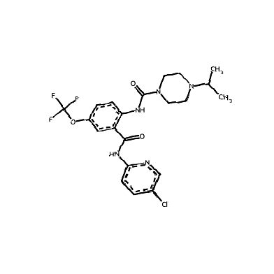 CC(C)N1CCN(C(=O)Nc2ccc(OC(F)(F)F)cc2C(=O)Nc2ccc(Cl)cn2)CC1